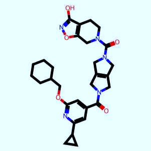 O=C(c1cc(OCC2CCCCC2)nc(C2CC2)c1)N1CC2=C(C1)CN(C(=O)N1CCc3c(O)noc3C1)C2